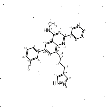 CNc1nc(-c2cccnc2)nc2c(OCCc3cn[nH]c3)cc(-c3cccc(F)c3)cc12